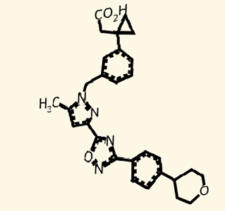 Cc1cc(-c2nc(-c3ccc(C4CCOCC4)cc3)no2)nn1Cc1cccc(C2(CC(=O)O)CC2)c1